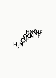 Nc1ccc(Oc2ccnc(Nc3ccn(C(F)F)n3)c2)c(F)c1